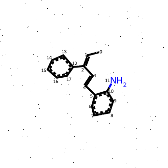 C/C=C(\C=C\c1ccccc1N)c1ccccc1